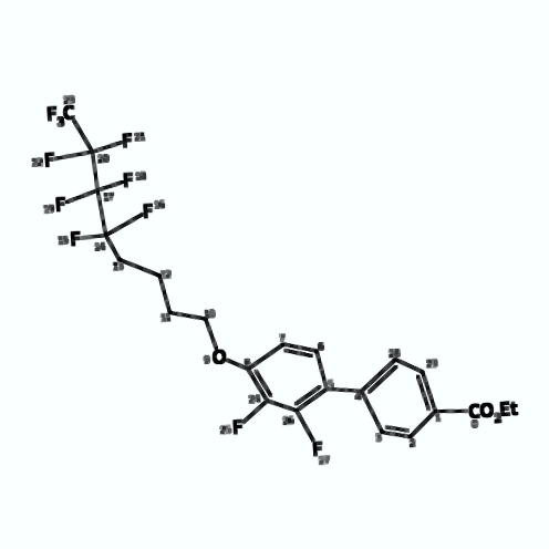 CCOC(=O)c1ccc(-c2ccc(OCCCCC(F)(F)C(F)(F)C(F)(F)C(F)(F)F)c(F)c2F)cc1